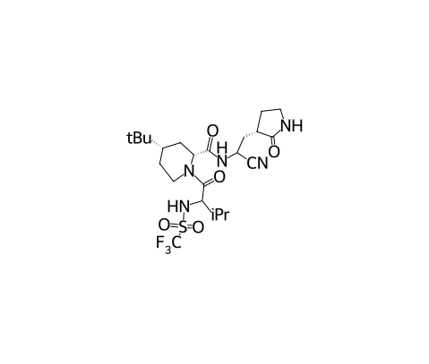 CC(C)C(NS(=O)(=O)C(F)(F)F)C(=O)N1CC[C@H](C(C)(C)C)C[C@@H]1C(=O)NC(C#N)C[C@@H]1CCNC1=O